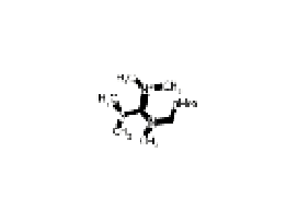 CCCCCCCN(C)C(N(C)C)=[N+](C)C